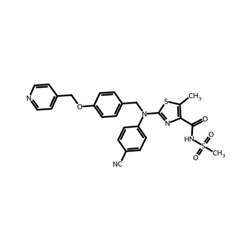 Cc1sc(N(Cc2ccc(OCc3ccncc3)cc2)c2ccc(C#N)cc2)nc1C(=O)NS(C)(=O)=O